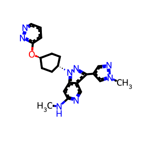 CNc1cc2c(cn1)c(-c1cnn(C)c1)nn2[C@H]1CC[C@H](Oc2cccnn2)CC1